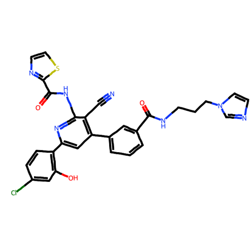 N#Cc1c(-c2cccc(C(=O)NCCCn3ccnc3)c2)cc(-c2ccc(Cl)cc2O)nc1NC(=O)c1nccs1